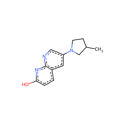 CC1CCN(c2cnc3nc(O)ccc3c2)C1